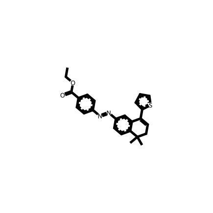 CCOC(=O)c1ccc(/N=N/c2ccc3c(c2)C(c2cccs2)=CCC3(C)C)cc1